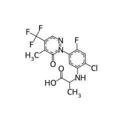 Cc1c(C(F)(F)F)cnn(-c2cc(NC(C)C(=O)O)c(Cl)cc2F)c1=O